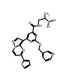 CCN(CC)C(C)CNC(=O)c1cc(OCc2cccnc2)nc(-c2cnn3ccc(-c4cccs4)nc23)c1